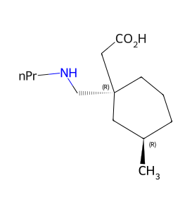 CCCNC[C@]1(CC(=O)O)CCC[C@@H](C)C1